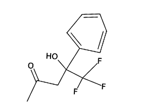 CC(=O)CC(O)(c1ccccc1)C(F)(F)F